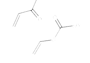 C=CC(=O)C=C.C=COC(=O)CCC